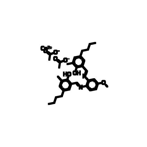 CC(=O)[O-].CC(=O)[O-].CCCCc1cc(C)c(O)c(C=Nc2ccc(OC)cc2N=Cc2cc(CCCC)cc(C)c2O)c1.[Co+2]